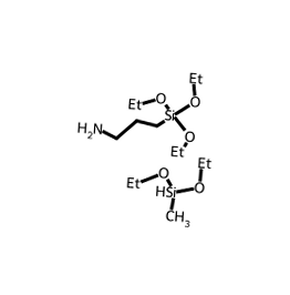 CCO[SiH](C)OCC.CCO[Si](CCCN)(OCC)OCC